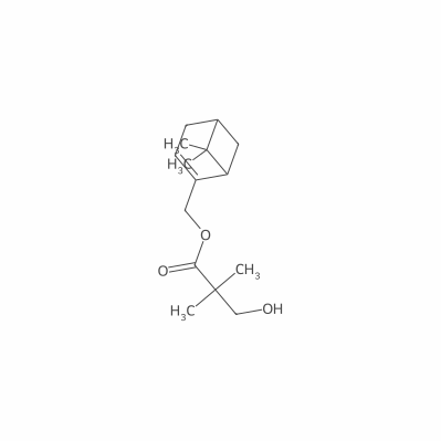 CC(C)(CO)C(=O)OCC1=CCC2CC1C2(C)C